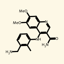 COc1cc2ncc(C(N)=O)c(Nc3cccc(CN)c3C)c2cc1OC